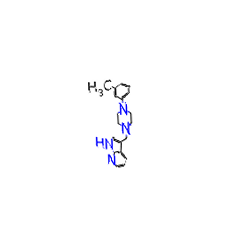 Cc1cccc(N2CCN(Cc3c[nH]c4ncccc34)CC2)c1